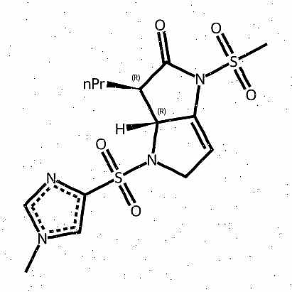 CCC[C@H]1C(=O)N(S(C)(=O)=O)C2=CCN(S(=O)(=O)c3cn(C)cn3)[C@@H]21